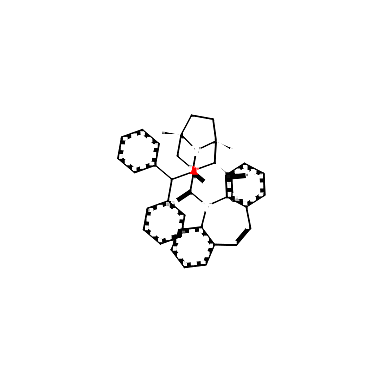 O=C(O)[C@@H]1[C@H]2CC[C@@H](CN1C(=O)N1c3ccccc3C=Cc3ccccc31)N2C(=O)C(c1ccccc1)c1ccccc1